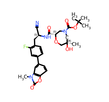 Cn1c(=O)oc2ccc(-c3ccc(C[C@@H](C#N)NC(=O)[C@@H]4CN(C(=O)OC(C)(C)C)C[C@@](C)(O)CO4)c(F)c3)cc21